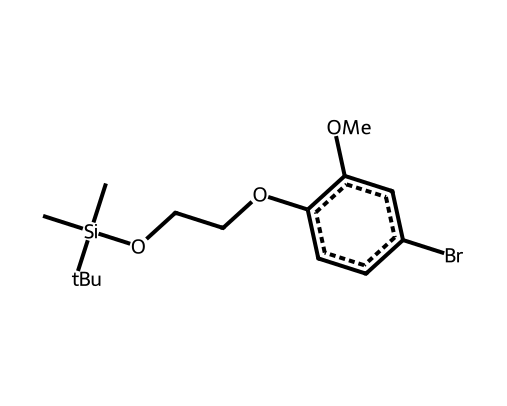 COc1cc(Br)ccc1OCCO[Si](C)(C)C(C)(C)C